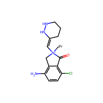 CC(C)[N+]1(C=C2CCCNN2)Cc2c(N)ccc(Cl)c2C1=O